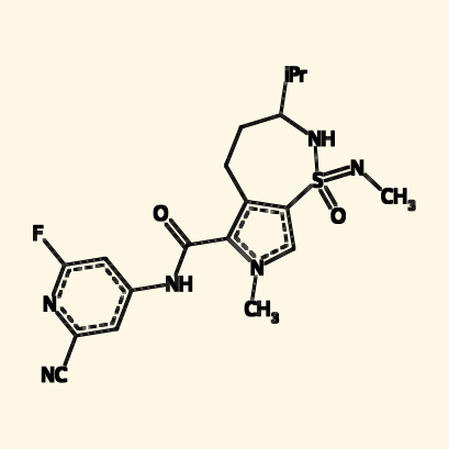 CN=S1(=O)NC(C(C)C)CCc2c1cn(C)c2C(=O)Nc1cc(F)nc(C#N)c1